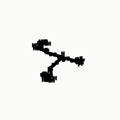 O=C(CCOCCOCCC(=O)Oc1c(F)c(F)c(F)c(F)c1F)NC(COCCOCCOCCn1cc(CCO[C@H]2O[C@H](CCP(=O)(O)O)[C@@H](O)[C@H](O)[C@@H]2O)nn1)COCCOCCOCCn1cc(CCO[C@H]2O[C@H](CCP(=O)(O)O)[C@@H](O)[C@H](O)[C@@H]2O)nn1